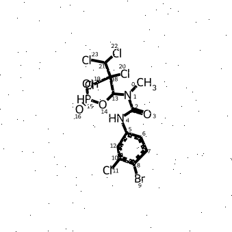 CN(C(=O)Nc1ccc(Br)c(Cl)c1)C(O[PH](=O)O)C(Cl)(Cl)C(Cl)Cl